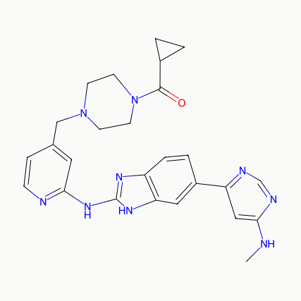 CNc1cc(-c2ccc3nc(Nc4cc(CN5CCN(C(=O)C6CC6)CC5)ccn4)[nH]c3c2)ncn1